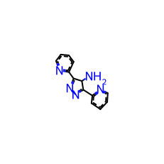 NC1C(c2ccccn2)=NN=C1c1ccccn1